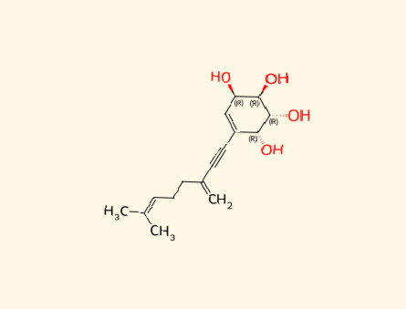 C=C(C#CC1=C[C@@H](O)[C@@H](O)[C@H](O)[C@@H]1O)CCC=C(C)C